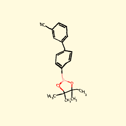 CC1(C)OB(c2ccc(-c3cccc(C#N)c3)cc2)OC1(C)C